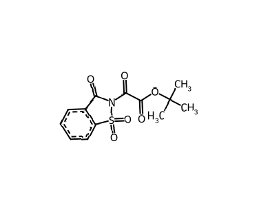 CC(C)(C)OC(=O)C(=O)N1C(=O)c2ccccc2S1(=O)=O